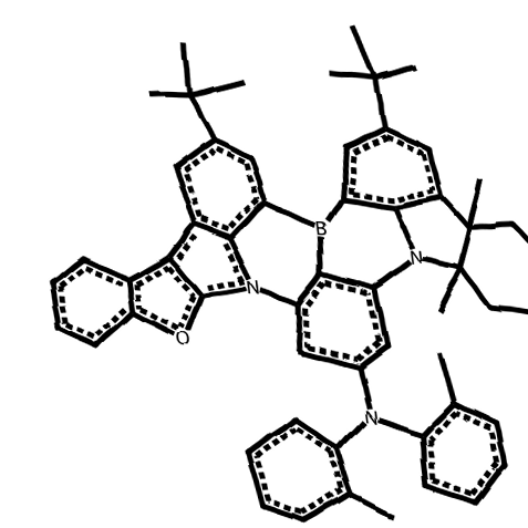 Cc1ccccc1N(c1cc2c3c(c1)-n1c4oc5ccccc5c4c4cc(C(C)(C)C)cc(c41)B3c1cc(C(C)(C)C)cc3c1N2C1(C)CCCCC31C)c1ccccc1C